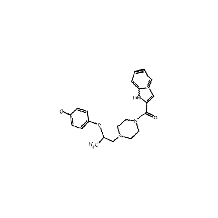 CC(CN1CCN(C(=O)c2cc3ccccc3[nH]2)CC1)Oc1ccc(Cl)cc1